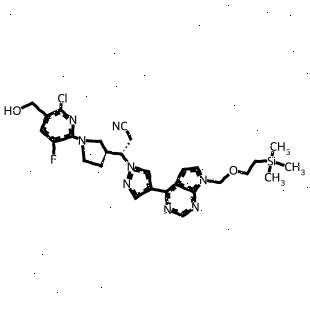 C[Si](C)(C)CCOCn1ccc2c(-c3cnn([C@@H](CC#N)[C@H]4CCN(c5nc(Cl)c(CO)cc5F)C4)c3)ncnc21